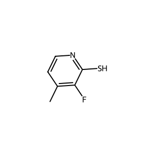 Cc1ccnc(S)c1F